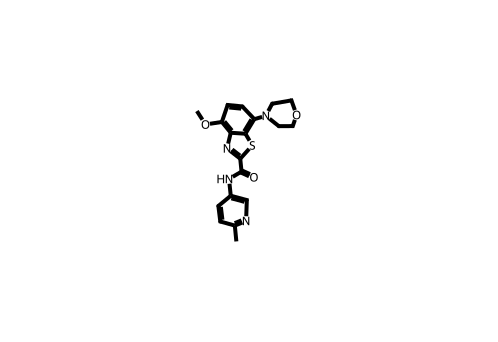 COc1ccc(N2CCOCC2)c2sc(C(=O)Nc3ccc(C)nc3)nc12